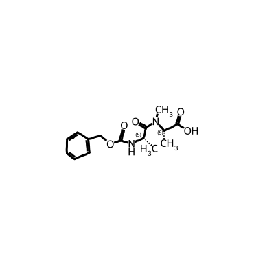 C[C@H](NC(=O)OCc1ccccc1)C(=O)N(C)[C@@H](C)C(=O)O